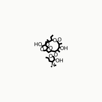 CCC1OC(=O)C(C)C(O)C(C)[C@@H](OC2OC(C)CC(N(C)C)[C@H]2O)[C@]2(C)CC(C)C3(OC1(C)C=C3C(=O)O)O2